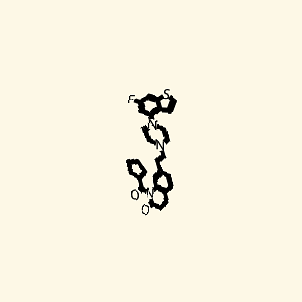 O=C1CCc2ccc(CCN3CCN(c4cc(F)cc5sccc45)CC3)cc2N1C(=O)C1CCCC1